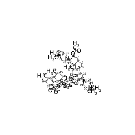 CC(=O)O[C@H]1CC2CCC3C(CC[C@@]4(C)C3C[C@H](N3CC[N+](C)(C)CC3)[C@@H]4OC(C)=O)[C@@]2(C)C[C@@H]1N1CC[N+](C)(C)CC1.Cc1ccc(S(=O)(=O)[O-])cc1.Cc1ccc(S(=O)(=O)[O-])cc1